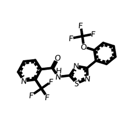 O=C(Nc1nc(-c2ccccc2OC(F)(F)F)ns1)c1cccnc1C(F)(F)F